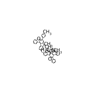 Cc1ccc(-c2cc3c(c4c2oc2ccccc24)-c2ccc(Cc4ccc5c(c4)C(C)(C)c4c6c(c7c(oc8ccccc87)c4-5)-c4ccccc4C6(C)C)cc2C3(C)C)cc1